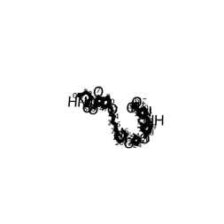 C=C1CCC(N2C(=O)c3ccc(OCCCCCN4CCC(O[C@H]5C[C@H](Oc6ccc7c(c6)Sc6cc([N+](=O)[O-])cnc6N7)C5)CC4)cc3C2=O)C(=O)N1